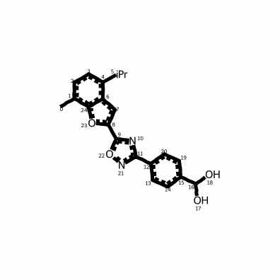 Cc1ccc(C(C)C)c2cc(-c3nc(-c4ccc(C(O)O)cc4)no3)oc12